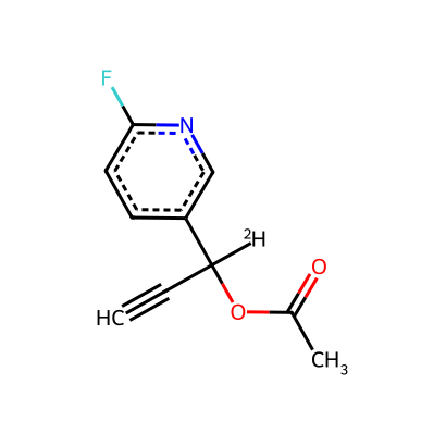 [2H]C(C#C)(OC(C)=O)c1ccc(F)nc1